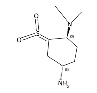 CN(C)[C@H]1CC[C@H](N)CC1=S(=O)=O